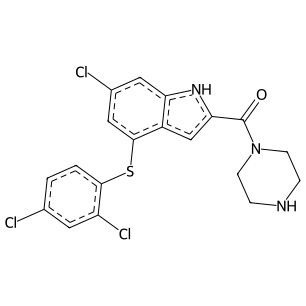 O=C(c1cc2c(Sc3ccc(Cl)cc3Cl)cc(Cl)cc2[nH]1)N1CCNCC1